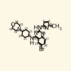 Cn1ccc(Nc2nc(N[C@H]3CC[C@H](N4CCOCC4)CC3)c3cc(Br)ccc3n2)n1